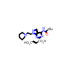 CC(C)(C)C(=O)Nc1ncnc2c1cnn2CCN1CCCCC1.O=C(O)C=CC(=O)O